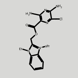 CCC[n+]1c(COC(=O)c2nc(Cl)c(N)nc2N)n(CC)c2ccccc21